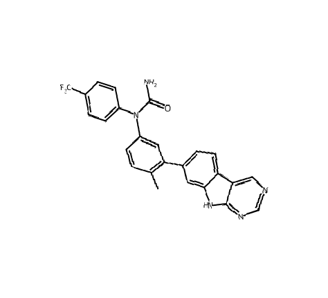 Cc1ccc(N(C(N)=O)c2ccc(C(F)(F)F)cc2)cc1-c1ccc2c(c1)[nH]c1ncncc12